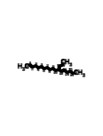 CC=CCCCCCCCCC(C=CCCCC)=CCC